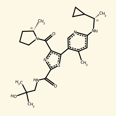 Cc1cc(N[C@@H](C)C2CC2)ncc1-c1sc(C(=O)NCC(C)(C)O)nc1C(=O)N1CCC[C@@H]1C